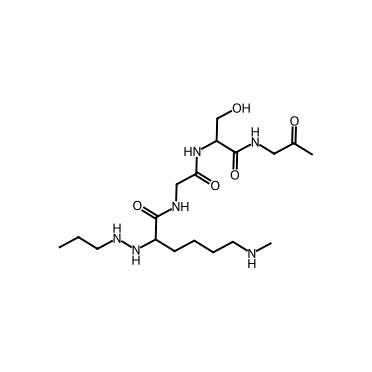 CCCNNC(CCCCNC)C(=O)NCC(=O)NC(CO)C(=O)NCC(C)=O